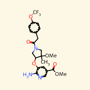 COC(=O)c1cnc(N)c(OC2CN(C(=O)Cc3ccc(OC(F)(F)F)cc3)CC2(C)OC)c1